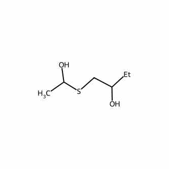 CCC(O)CSC(C)O